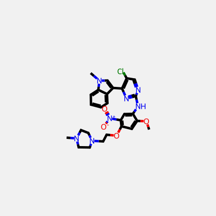 COc1cc(OCCN2CCN(C)CC2)c([N+](=O)[O-])cc1Nc1ncc(Cl)c(-c2cn(C)c3ccccc23)n1